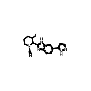 N#CN1CCCC(F)C1c1nc2ccc(-c3ccn[nH]3)cc2[nH]1